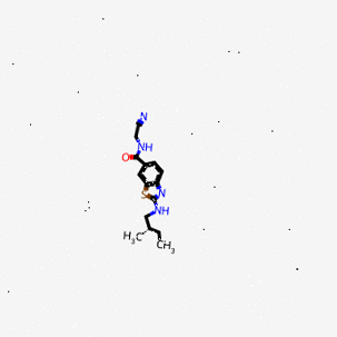 CC[C@H](C)CNc1nc2ccc(C(=O)NCC#N)cc2s1